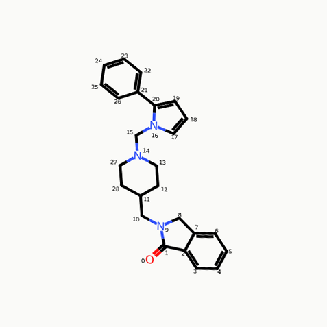 O=C1c2ccccc2CN1CC1CCN(Cn2cccc2-c2ccccc2)CC1